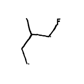 [CH2]CC(C)[CH]F